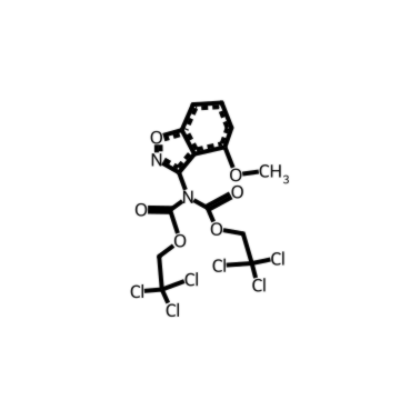 COc1cccc2onc(N(C(=O)OCC(Cl)(Cl)Cl)C(=O)OCC(Cl)(Cl)Cl)c12